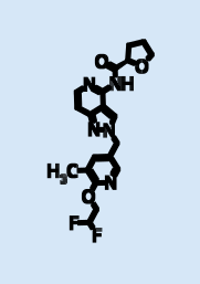 Cc1cc(Cn2cc3c(NC(=O)[C@H]4CCCO4)nccc3n2)cnc1OCC(F)F